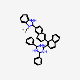 CN1c2ccccc2NC1c1ccc2cc(-c3c(C4NC(c5ccccc5)NC(c5ccccc5)N4)ccc4ccccc34)ccc2c1